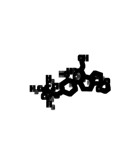 CC(C)(C)[Si](C)(C)OC1CC[C@](C)(C2CC[C@@]3(C)C(CCC34OCCO4)C2C(O)CO)[C@@H](O)C1